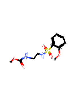 COC(=O)NCCNS(=O)(=O)c1ccccc1OC